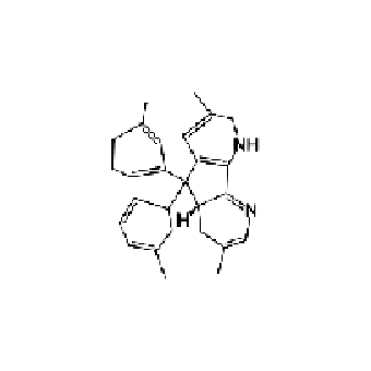 CC1=CC(C2(C3C=CC=C(C)C3)C3=C(NCC(C)=C3)C3=NC=C(C)C[C@@H]32)=CCC1